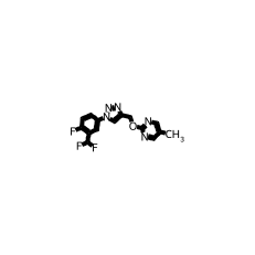 Cc1cnc(OCc2cn(-c3ccc(F)c(C(F)F)c3)nn2)nc1